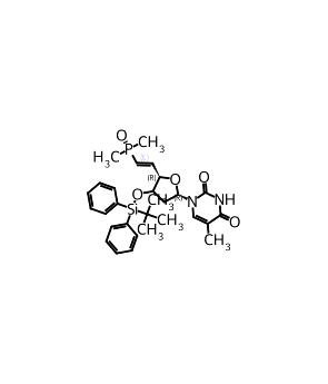 Cc1cn([C@H]2CC(O[Si](c3ccccc3)(c3ccccc3)C(C)(C)C)[C@@H](/C=C/P(C)(C)=O)O2)c(=O)[nH]c1=O